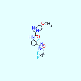 COc1ccn2c(C(=O)Nc3cccc(-c4noc(C[C@@H]5CC5(F)F)n4)c3F)cnc2c1